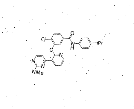 CNc1nccc(-c2cccnc2Oc2cc(C(=O)Nc3ccc(C(C)C)cc3)ccc2Cl)n1